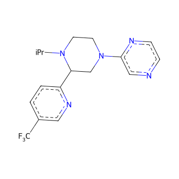 CC(C)N1CCN(c2cnccn2)CC1c1ccc(C(F)(F)F)cn1